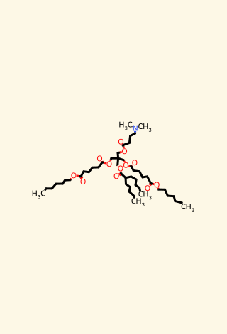 CCCCCCCOC(=O)CCCCC(=O)OCC(COC(=O)CCCCC(=O)OCCCCCCC)(COC(=O)CCCN(C)C)COC(=O)C(CCCCC)CCCCC